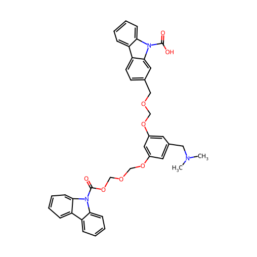 CN(C)Cc1cc(OCOCOC(=O)n2c3ccccc3c3ccccc32)cc(OCOCc2ccc3c4ccccc4n(C(=O)O)c3c2)c1